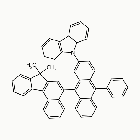 CC1(C)c2ccccc2-c2c1cc(-c1c3ccccc3c(-c3ccccc3)c3ccc(N4C5=C(C=CCC5)C5C=CC=CC54)cc13)c1ccccc21